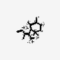 C=CC(C)=C(C(=O)O)[C@@]1(O)C(C)=C(C)C(=O)CC1(C)C